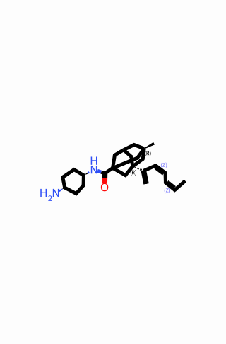 C=C(/C=C\C=C/C)[C@]12CC3CC(C(=O)N[C@H]4CC[C@@H](N)CC4)(C[C@](C)(C3)C1)C2